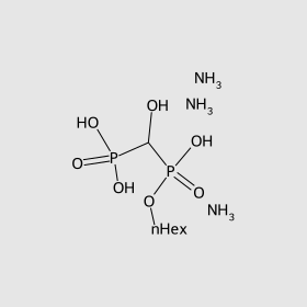 CCCCCCOP(=O)(O)C(O)P(=O)(O)O.N.N.N